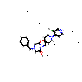 O=C1CN(CC2CCCCC2)CC2OC3(CCN(c4ccncc4F)CC3)CN12